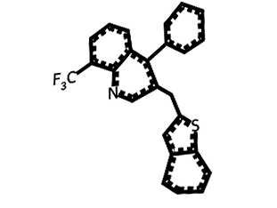 FC(F)(F)c1cccc2c(-c3ccccc3)c(Cc3cc4ccccc4s3)cnc12